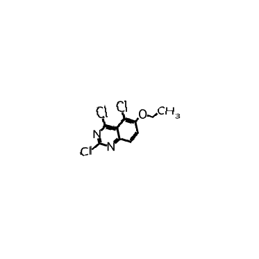 CCOc1ccc2nc(Cl)nc(Cl)c2c1Cl